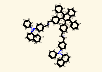 C1=CCCC(N(c2ccc(/C=C/c3ccc(-c4c(-c5ccc(/C=C/c6ccc(N(c7ccccc7)c7cccc8ccccc78)cc6)cc5)c(-c5ccccc5)c5ccccc5c4-c4ccccc4)cc3)cc2)c2cccc3ccccc23)=C1